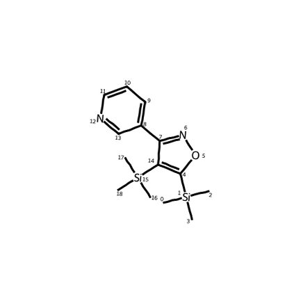 C[Si](C)(C)c1onc(-c2cccnc2)c1[Si](C)(C)C